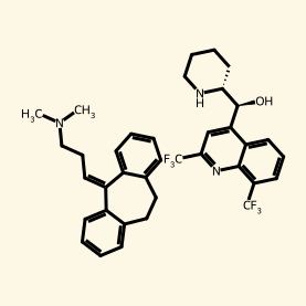 CN(C)CCC=C1c2ccccc2CCc2ccccc21.O[C@@H](c1cc(C(F)(F)F)nc2c(C(F)(F)F)cccc12)[C@H]1CCCCN1